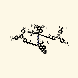 CCCC1(C)\C(=C/C=C/C=C/C2=[N+](CCCCCC(=O)CC3CCN(c4nc(N5CCC(N)CC5)nc(N5CCC(C(=O)O)CC5)n4)CC3)c3ccc4c(C)cc(S(=O)(=O)O)cc4c3C2(C)CCCS(=O)(=O)O)N(CCCCCC(=O)CC2CCN(c3nc(N4CCC(N)CC4)nc(N4CCC(C(=O)O)CC4)n3)CC2)c2ccc3c(S(=O)(=O)O)cccc3c21